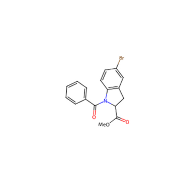 COC(=O)C1Cc2cc(Br)ccc2N1C(=O)c1ccccc1